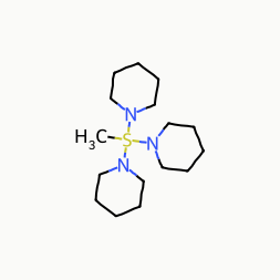 CS(N1CCCCC1)(N1CCCCC1)N1CCCCC1